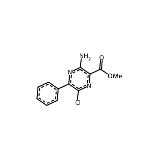 COC(=O)c1nc(Cl)c(-c2ccccc2)nc1N